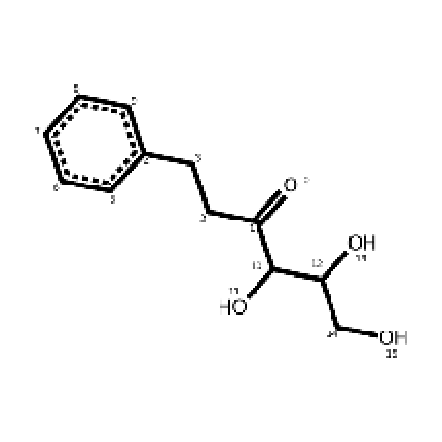 O=C(CCc1ccccc1)C(O)C(O)CO